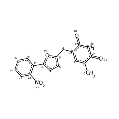 Cc1cn(Cc2ccc(-c3ccccc3[N+](=O)[O-])o2)c(=O)[nH]c1=O